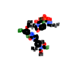 C#CCOc1cc(-n2nc3n(c2=O)CCCC3)c(Cl)cc1Cl.CC1COc2ccccc2N1C(=O)C(Cl)Cl.CCOCN(C(=O)CCl)c1c(C)cccc1CC.O=C(O)CNCP(=O)(O)O